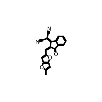 Cc1cc2oc(/C=C3\C(=O)c4ccccc4C3=C(C#N)C#N)cc2o1